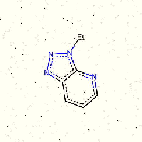 CCn1nnc2cccnc21